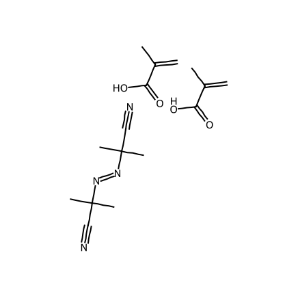 C=C(C)C(=O)O.C=C(C)C(=O)O.CC(C)(C#N)N=NC(C)(C)C#N